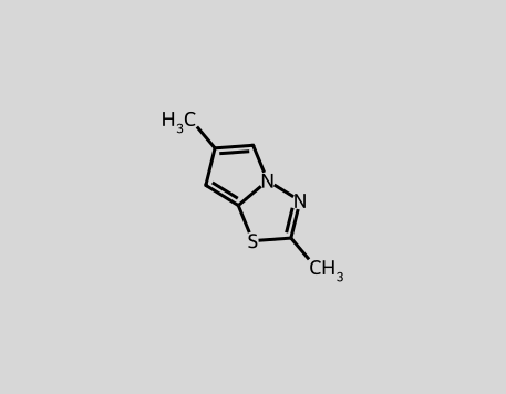 Cc1cc2sc(C)nn2c1